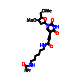 CCCC(=O)NCCCCCCNC(=O)C#Cc1cn(C2CC(OC)C(COC)O2)c(=O)[nH]c1=O